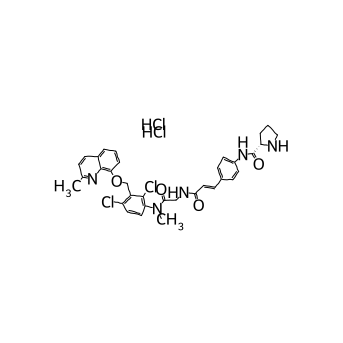 Cc1ccc2cccc(OCc3c(Cl)ccc(N(C)C(=O)CNC(=O)/C=C/c4ccc(NC(=O)[C@@H]5CCCN5)cc4)c3Cl)c2n1.Cl.Cl